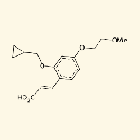 COCCOc1ccc(C=CC(=O)O)c(OCC2CC2)c1